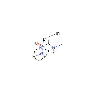 CCN1CC2CC(C1)N2C(=O)C(CC(C)C)N(C)C